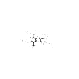 COc1nc(C(C)C)c(Nc2cnc(N)nc2N)cc1C(F)(F)F